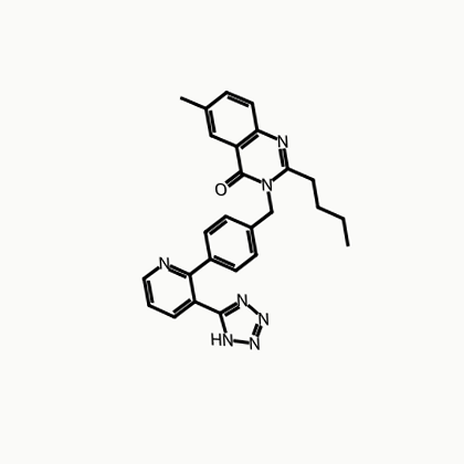 CCCCc1nc2ccc(C)cc2c(=O)n1Cc1ccc(-c2ncccc2-c2nnn[nH]2)cc1